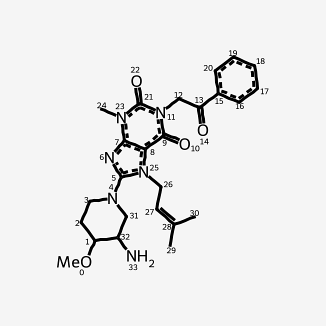 COC1CCN(c2nc3c(c(=O)n(CC(=O)c4ccccc4)c(=O)n3C)n2CC=C(C)C)CC1N